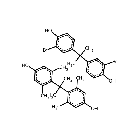 CC(C)(c1ccc(O)c(Br)c1)c1ccc(O)c(Br)c1.Cc1cc(O)cc(C)c1C(C)(C)c1c(C)cc(O)cc1C